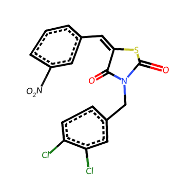 O=C1SC(=Cc2cccc([N+](=O)[O-])c2)C(=O)N1Cc1ccc(Cl)c(Cl)c1